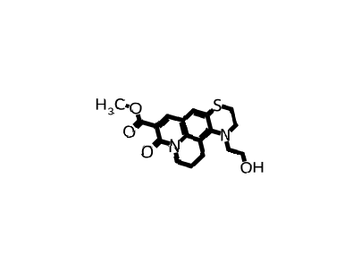 COC(=O)c1cc2cc3c(c4c2n(c1=O)CCC4)N(CCO)CCS3